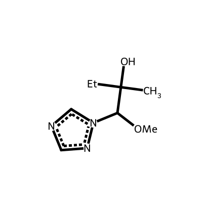 CCC(C)(O)C(OC)n1cncn1